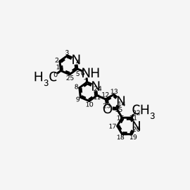 Cc1ccnc(Nc2cccc(-c3cnc(-c4cccnc4C)o3)n2)c1